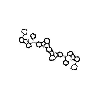 c1ccc(N(c2ccc3c(c2)c2cccc4c5cc6c(cc5n3c24)c2cccc3c4cc(N(c5ccccc5)c5cccc7c5oc5c(C8CCCCC8)cccc57)ccc4n6c32)c2cccc3c2oc2c(C4CCCCC4)cccc23)cc1